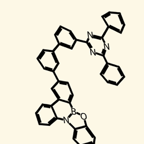 c1ccc(-c2nc(-c3ccccc3)nc(-c3cccc(-c4cccc(-c5ccc6c(c5)-c5ccccc5N5B6Oc6ccccc65)c4)c3)n2)cc1